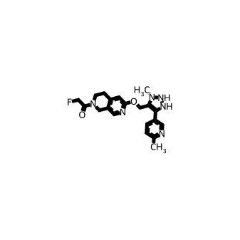 Cc1ccc(C2=C(COc3cc4c(cn3)CN(C(=O)CF)CC4)N(C)NN2)cn1